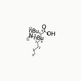 CCCCCCC(=O)O.CCCCN(C)CCCC